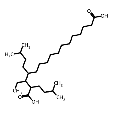 CCC(C(CCCCCCCCCCCC(=O)O)CCC(C)C)C(CCC(C)C)C(=O)O